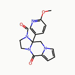 COc1ccc(C23Cn4cccc4C(=O)N2CCN3C=O)cn1